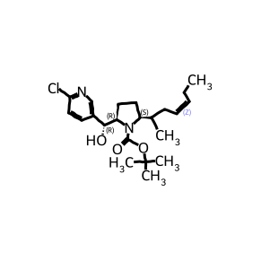 CC/C=C\CC(C)[C@@H]1CC[C@H]([C@H](O)c2ccc(Cl)nc2)N1C(=O)OC(C)(C)C